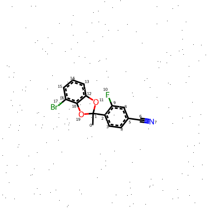 CC1(c2ccc(C#N)cc2F)Oc2cccc(Br)c2O1